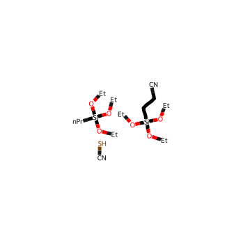 CCC[Si](OCC)(OCC)OCC.CCO[Si](CCC#N)(OCC)OCC.N#CS